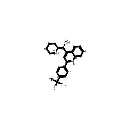 O[C@@H](c1cc(-c2ccc(C(F)(F)F)cc2)nc2ccccc12)C1CCCCN1